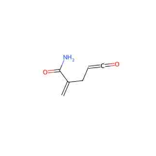 C=C(CC=C=O)C(N)=O